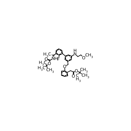 COCCNc1cc(COc2ccccc2CC(=O)OC(C)(C)C)cc(-c2cccc([C@@H](C)NC(=O)OC(C)(C)C)c2F)c1